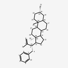 C=C(C)[C@@H](Cc1ccccc1)C1CCC2C3CCC4C[C@@H](F)CCC4(C)C3CC[C@@]21C